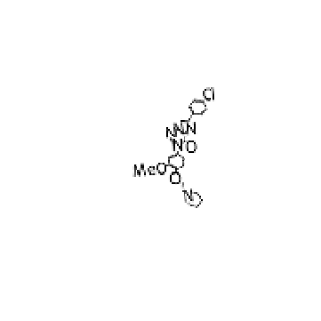 COc1cc(-n2cnn3cc(-c4ccc(Cl)cc4)nc3c2=O)ccc1OCCN1CCCC1